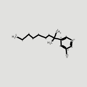 CCCCCCCC(C)(C)c1cncc(Cl)c1